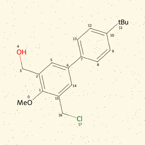 COc1c(CO)cc(-c2ccc(C(C)(C)C)cc2)cc1CCl